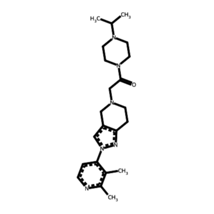 Cc1nccc(-n2cc3c(n2)CCN(CC(=O)N2CCN(C(C)C)CC2)C3)c1C